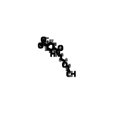 C#CCOCCCNC(=O)c1ccc([N+](=O)[O-])cc1